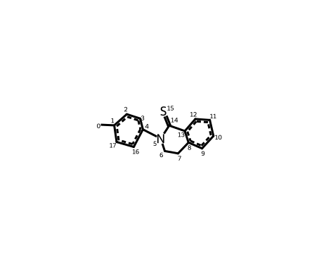 Cc1ccc(N2CCc3ccccc3C2=S)cc1